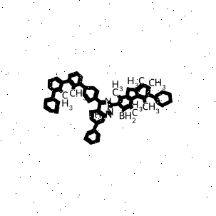 Bc1c(C)c2c(c(C)c1C(=N/N)/N=C(/C1=CCC(c3cccc(-c4cccc(-c5ccccc5)c4C)c3C)C=C1)c1ccc(-c3ccccc3)cc1)Cc1c(C)c(C)c(C3=CCCCC3)c(C)c1-2